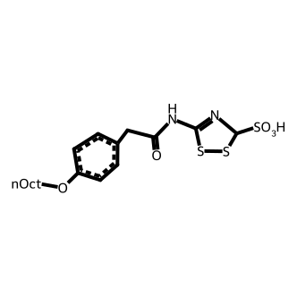 CCCCCCCCOc1ccc(CC(=O)NC2=NC(S(=O)(=O)O)SS2)cc1